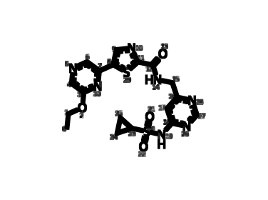 CCOc1cncc(-c2cnc(C(=O)NCc3cc(NS(=O)(=O)C4CC4)ncn3)s2)n1